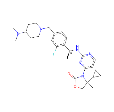 C[C@H](Nc1nccc(N2C(=O)OCC2(C)C2CC2)n1)c1ccc(CN2CCC(N(C)C)CC2)cc1F